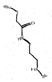 CC(C)(C)NCCCNC(=O)CSC(C)(C)C